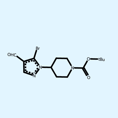 CC(C)(C)OC(=O)N1CCC(n2ncc(C=O)c2Br)CC1